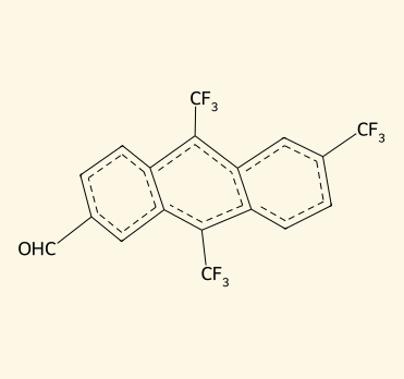 O=Cc1ccc2c(C(F)(F)F)c3cc(C(F)(F)F)ccc3c(C(F)(F)F)c2c1